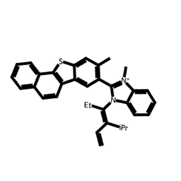 C=C/C(=C(\CC)n1c(-c2cc3c(cc2C)sc2c4ccccc4ccc32)[n+](C)c2ccccc21)C(C)C